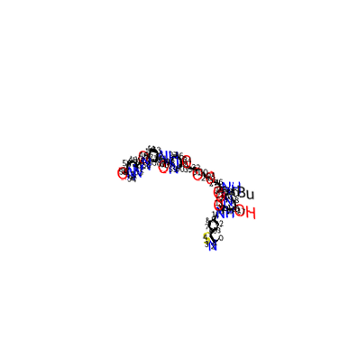 Cc1ncsc1-c1ccc(CNC(=O)[C@@H]2C[C@@H](O)CN2C(=O)[C@@H](NC(=O)CCOCCOCCOc2ccc(C(=O)Nc3ccc4oc(-c5ccc(=O)n(C)n5)nc4c3)nc2)C(C)(C)C)cc1